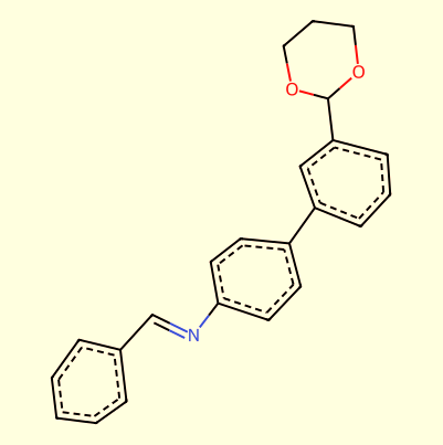 C(=N\c1ccc(-c2cccc(C3OCCCO3)c2)cc1)/c1ccccc1